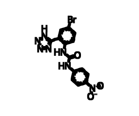 O=C(Nc1ccc([N+](=O)[O-])cc1)Nc1ccc(Br)cc1-c1nnn[nH]1